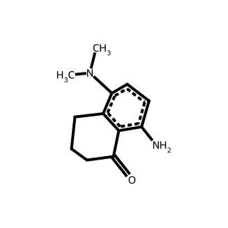 CN(C)c1ccc(N)c2c1CCCC2=O